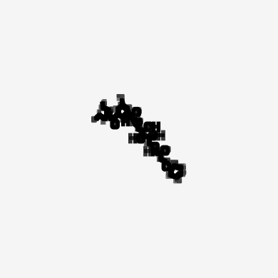 CCCN(CCC)C(=O)c1cc(C)cc(C(=O)NOC[C@H](O)[C@H](O)C(O)CONC(=O)CCOc2ccccc2)c1